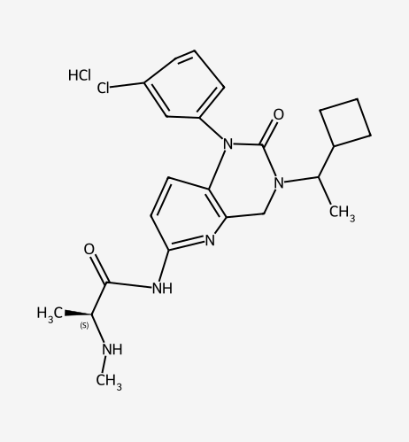 CN[C@@H](C)C(=O)Nc1ccc2c(n1)CN(C(C)C1CCC1)C(=O)N2c1cccc(Cl)c1.Cl